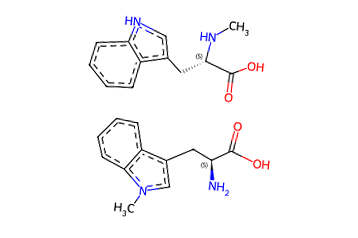 CN[C@@H](Cc1c[nH]c2ccccc12)C(=O)O.Cn1cc(C[C@H](N)C(=O)O)c2ccccc21